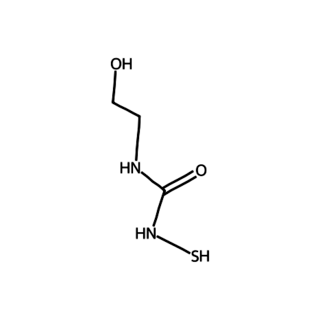 O=C(NS)NCCO